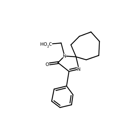 O=C(O)CN1C(=O)C(c2ccccc2)=NC12CCCCCC2